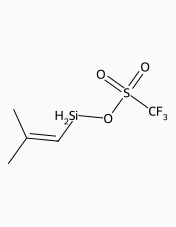 CC(C)=C[SiH2]OS(=O)(=O)C(F)(F)F